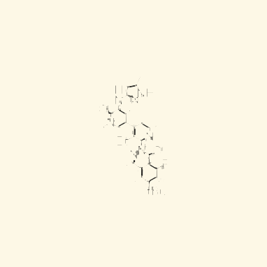 CCc1c(-c2cc(Nc3cc(C)[nH]n3)c(=O)n(C)c2)ccnc1-n1ncc2cc(C(C)(C)C)cc(F)c2c1=O